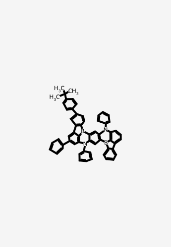 CC(C)(C)c1ccc(-c2ccc3c(c2)-c2cc(-c4ccccc4)cc4c2B3c2cc3c(cc2N4c2ccccc2)B2c4ccccc4-c4cccc(c42)N3c2ccccc2)cc1